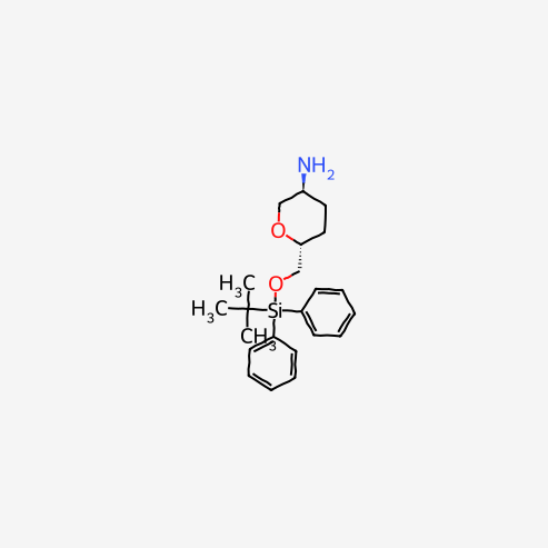 CC(C)(C)[Si](OC[C@H]1CC[C@H](N)CO1)(c1ccccc1)c1ccccc1